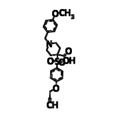 C#CCOc1ccc(S(=O)(=O)C2(C(=O)O)CCN(Cc3ccc(OC)cc3)CC2)cc1